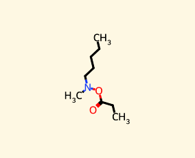 CCCCCN(C)OC(=O)CC